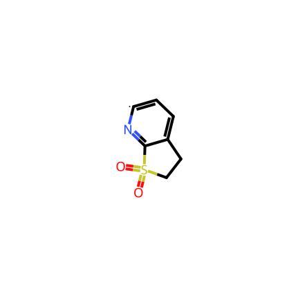 O=S1(=O)CCc2cc[c]nc21